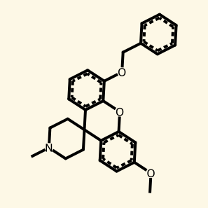 COc1ccc2c(c1)Oc1c(OCc3ccccc3)cccc1C21CCN(C)CC1